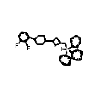 Fc1cccc(C2CCC(C3CC(CP(I)(c4ccccc4)(c4ccccc4)c4ccccc4)C3)CC2)c1F